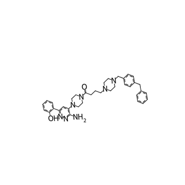 Nc1nnc(-c2ccccc2O)cc1N1CCN(C(=O)CCCN2CCN(Cc3ccc(Cc4ccccc4)cc3)CC2)CC1